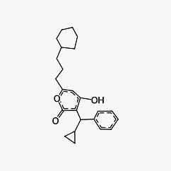 O=c1oc(CCCC2CCCCC2)cc(O)c1C(c1ccccc1)C1CC1